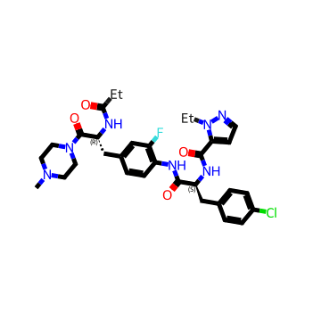 CCC(=O)N[C@H](Cc1ccc(NC(=O)[C@H](Cc2ccc(Cl)cc2)NC(=O)c2ccnn2CC)c(F)c1)C(=O)N1CCN(C)CC1